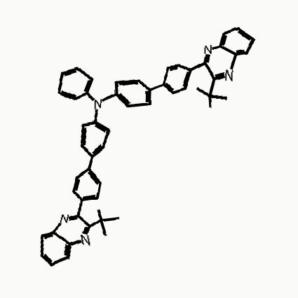 CC(C)(C)c1nc2ccccc2nc1-c1ccc(-c2ccc(N(c3ccccc3)c3ccc(-c4ccc(-c5nc6ccccc6nc5C(C)(C)C)cc4)cc3)cc2)cc1